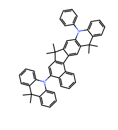 CC1(C)c2ccccc2N(c2ccccc2)c2cc3c(cc21)-c1c(cc(N2c4ccccc4C(C)(C)c4ccccc42)c2ccccc12)C3(C)C